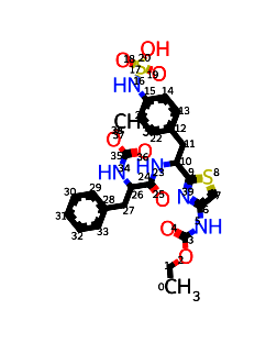 CCOC(=O)Nc1csc(C(Cc2ccc(NS(=O)(=O)O)cc2)NC(=O)C(Cc2ccccc2)NC(=O)OC)n1